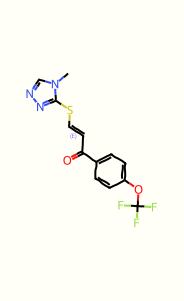 Cn1cnnc1S/C=C/C(=O)c1ccc(OC(F)(F)F)cc1